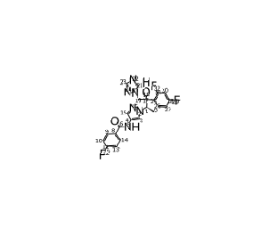 C[C@@H](n1cc(NC(=O)c2ccc(F)cc2)cn1)[C@](O)(Cn1cncn1)c1ccc(F)cc1F